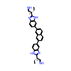 CC[C@@H](C=N)c1nc2cc(-c3ccc4ccc(-c5ccc6nc([C@H](C=N)CC)[nH]c6c5)cc4c3)ccc2[nH]1